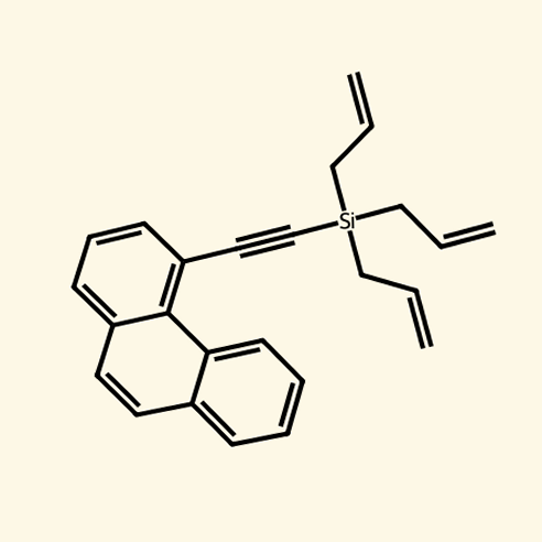 C=CC[Si](C#Cc1cccc2ccc3ccccc3c12)(CC=C)CC=C